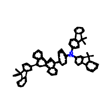 CC1(C)c2ccccc2-c2cc(-c3cc4c5ccccc5c(-c5ccc(N(c6ccc7c(c6)C(C)(C)c6ccccc6-7)c6ccc7c(c6)C(C)(C)c6ccccc6-7)cc5)cc4c4ccccc34)ccc21